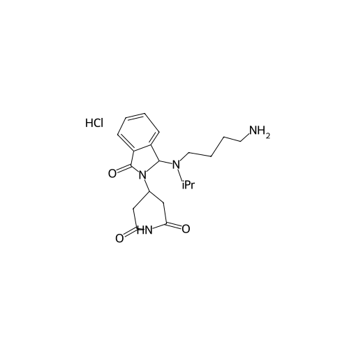 CC(C)N(CCCCN)C1c2ccccc2C(=O)N1C1CC(=O)NC(=O)C1.Cl